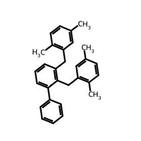 Cc1ccc(C)c(Cc2cccc(-c3ccccc3)c2Cc2cc(C)ccc2C)c1